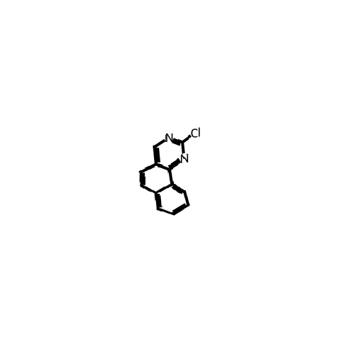 Clc1ncc2ccc3ccccc3c2n1